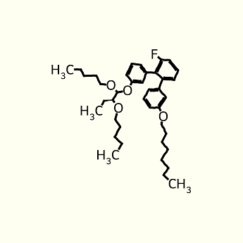 CCCCCCCCOc1cccc(-c2cccc(F)c2-c2cccc(OC(OCCCCC)[C@H](CC)OCCCCC)c2)c1